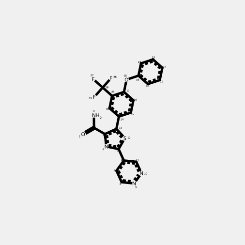 NC(=O)c1nc(-c2ccnnc2)sc1-c1ccc(Oc2ccccc2)c(C(F)(F)F)c1